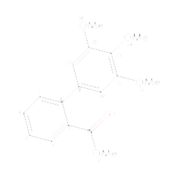 COC(=O)c1ccccc1-c1cc(OC)c(OC)c(OC)c1